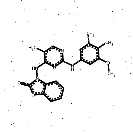 COc1cc(Nc2ncc(C)c(Nn3c(=O)oc4ccccc43)n2)cc(C)c1C